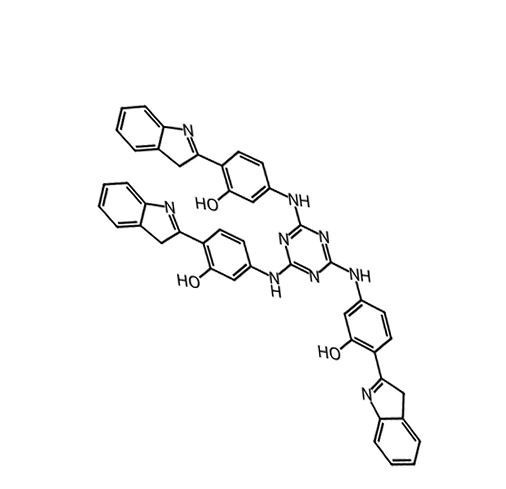 Oc1cc(Nc2nc(Nc3ccc(C4=Nc5ccccc5C4)c(O)c3)nc(Nc3ccc(C4=Nc5ccccc5C4)c(O)c3)n2)ccc1C1=Nc2ccccc2C1